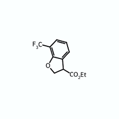 CCOC(=O)C1COc2c1cccc2C(F)(F)F